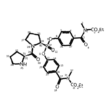 CCOC(=O)N(C)C(=O)c1ccc(OP(=O)(Oc2ccc(C(=O)N(C)C(=O)OCC)cc2)[C@@H]2CCCN2C(=O)[C@@H]2CCCN2)cc1